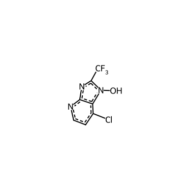 On1c(C(F)(F)F)nc2nccc(Cl)c21